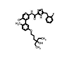 CCC(O)(CC)CCCOc1ccc(C)c(-c2cc(NC(=O)c3nnc(Cc4ccccc4F)[nH]3)ncc2Cl)c1